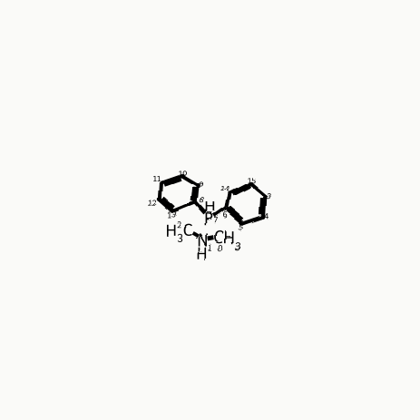 CNC.c1ccc(Pc2ccccc2)cc1